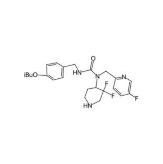 CC(C)COc1ccc(CNC(=O)N(Cc2ccc(F)cn2)C2CCNCC2(F)F)cc1